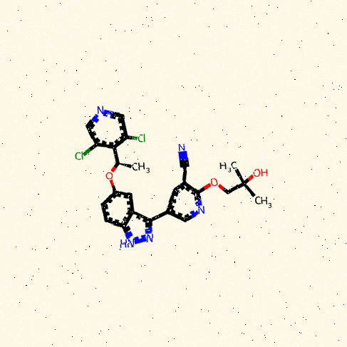 C[C@@H](Oc1ccc2[nH]nc(-c3cnc(OCC(C)(C)O)c(C#N)c3)c2c1)c1c(Cl)cncc1Cl